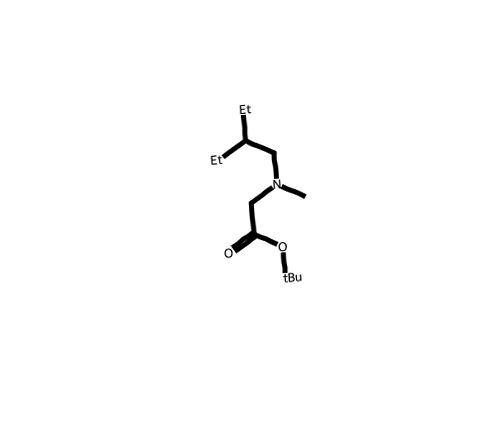 CCC(CC)CN(C)CC(=O)OC(C)(C)C